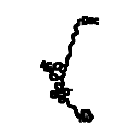 CCCCCCCCCCCCCCCCCCOCC(COP(=O)([O-])OCCCC[N+]1(C)CCCC1)OC(=O)CC(C)=O